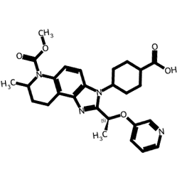 COC(=O)N1c2ccc3c(nc([C@H](C)Oc4cccnc4)n3C3CCC(C(=O)O)CC3)c2CCC1C